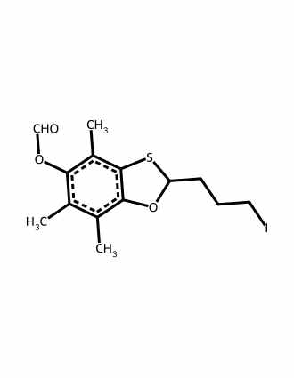 Cc1c(C)c2c(c(C)c1OC=O)SC(CCCI)O2